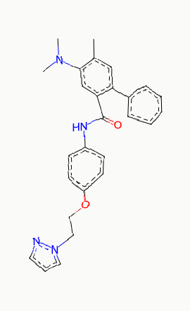 Cc1cc(-c2ccccc2)c(C(=O)Nc2ccc(OCCn3cccn3)cc2)cc1N(C)C